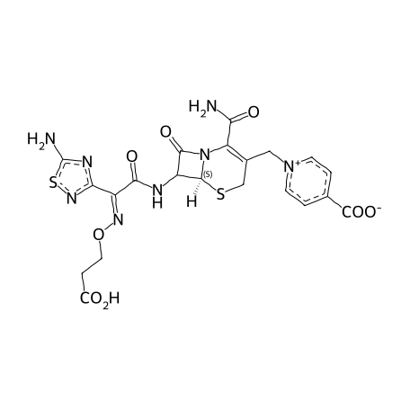 NC(=O)C1=C(C[n+]2ccc(C(=O)[O-])cc2)CS[C@H]2C(NC(=O)C(=NOCCC(=O)O)c3nsc(N)n3)C(=O)N12